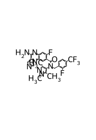 Cc1nn(C)c(C)c1N(Cc1ccc(C(F)(F)F)cc1F)C(=O)c1cc2c(cc1F)nc(N)c1cncn12